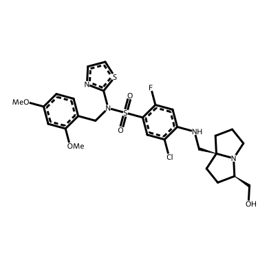 COc1ccc(CN(c2nccs2)S(=O)(=O)c2cc(Cl)c(NC[C@@]34CCCN3[C@@H](CO)CC4)cc2F)c(OC)c1